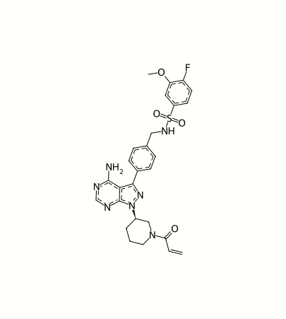 C=CC(=O)N1CCC[C@@H](n2nc(-c3ccc(CNS(=O)(=O)c4ccc(F)c(OC)c4)cc3)c3c(N)ncnc32)C1